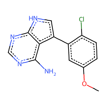 COc1ccc(Cl)c(-c2c[nH]c3ncnc(N)c23)c1